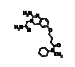 CN(C(=O)CCCOc1ccc2c(c1)CN(CC(N)=O)C(N)=N2)C1CCCCC1